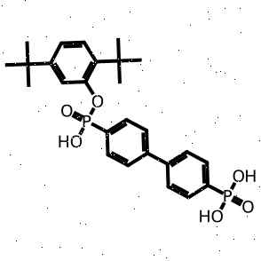 CC(C)(C)c1ccc(C(C)(C)C)c(OP(=O)(O)c2ccc(-c3ccc(P(=O)(O)O)cc3)cc2)c1